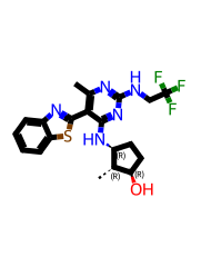 Cc1nc(NCC(F)(F)F)nc(N[C@@H]2CC[C@@H](O)[C@@H]2C)c1-c1nc2ccccc2s1